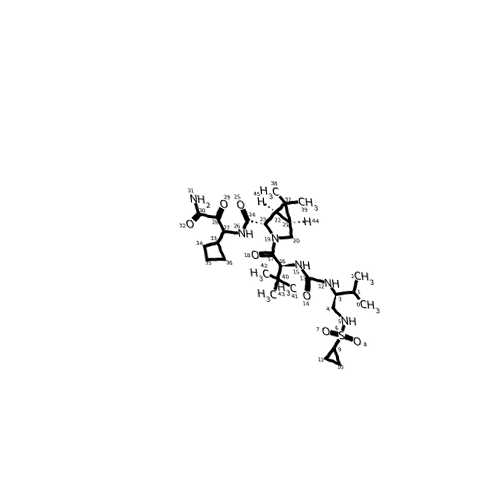 CC(C)[C@@H](CNS(=O)(=O)C1CC1)NC(=O)N[C@H](C(=O)N1C[C@H]2[C@@H]([C@H]1C(=O)NC(C(=O)C(N)=O)C1CCC1)C2(C)C)C(C)(C)C